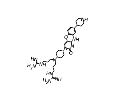 N=C(N)NCCCN(CCCNC(=N)N)[C@H]1CC[C@H](n2cc3c(nc2=O)Nc2cc(C4CCNCC4)ccc2O3)CC1